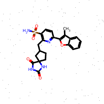 Cc1c(-c2ccc(S(N)(=O)=O)c(CC3CCC4(C3)NC(=O)NC4=O)n2)oc2ccccc12